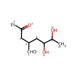 CCC(=O)CC([C]=O)CC(O)C(C)O